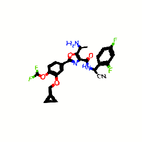 C[C@H](N)c1oc(-c2ccc(OC(F)F)c(OCC3CC3)c2)nc1C(=O)NC(C#N)c1ccc(F)cc1F